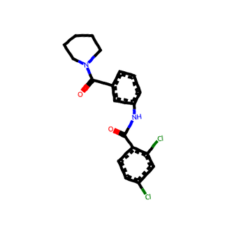 O=C(Nc1c[c]cc(C(=O)N2CCCCC2)c1)c1ccc(Cl)cc1Cl